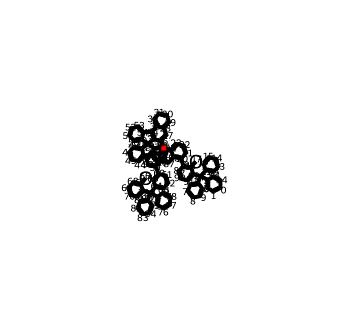 c1ccc(C2(c3ccccc3)c3ccccc3Oc3c(-c4cccc5c(-c6cc7ccccc7c7c6C6(c8ccccc8-c8ccccc86)c6ccccc6-7)c6cccc(-c7cccc8c7Oc7ccccc7C8(c7ccccc7)c7ccccc7)c6cc45)cccc32)cc1